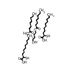 CCCCCCCC(=O)O.CCCCCCCC(=O)OCCCCO.CCCCCCCCCC(S)C(=O)O.CCCCCCCCCC(S)C(=O)O